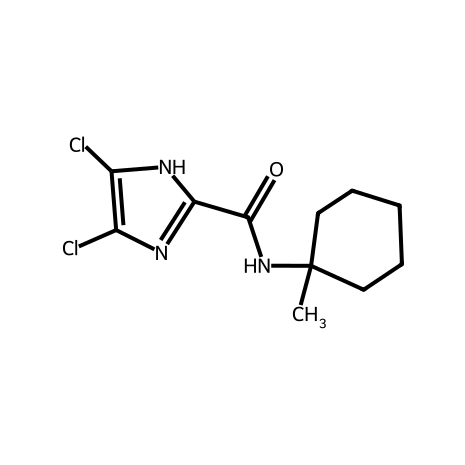 CC1(NC(=O)c2nc(Cl)c(Cl)[nH]2)CCCCC1